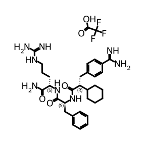 N=C(N)NCCC[C@H](NC(=O)[C@H](Cc1ccccc1)NC(=O)[C@H](Cc1ccc(C(=N)N)cc1)C1CCCCC1)C(N)=O.O=C(O)C(F)(F)F